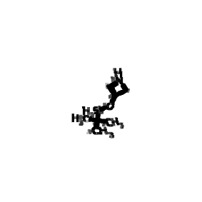 CC(C)(C)[SiH2]OC1CNC1